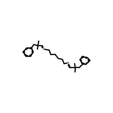 CC(C)(C=NCCCCCCN=CC(C)(C)Cc1ccccc1)Cc1ccccc1